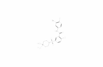 CC1(O)CCN(S(=O)(=O)c2ccc(Cl)c(C(=O)Nc3ccc(F)c(Br)c3)c2)CC1